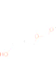 [O]COCCCCO